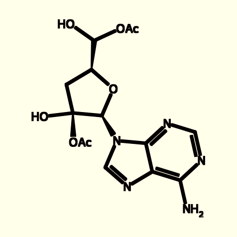 CC(=O)OC(O)[C@@H]1C[C@](O)(OC(C)=O)[C@H](n2cnc3c(N)ncnc32)O1